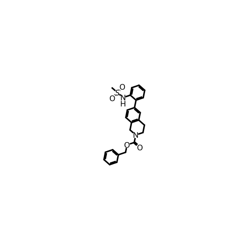 CS(=O)(=O)Nc1ccccc1-c1ccc2c(c1)CCN(C(=O)OCc1ccccc1)C2